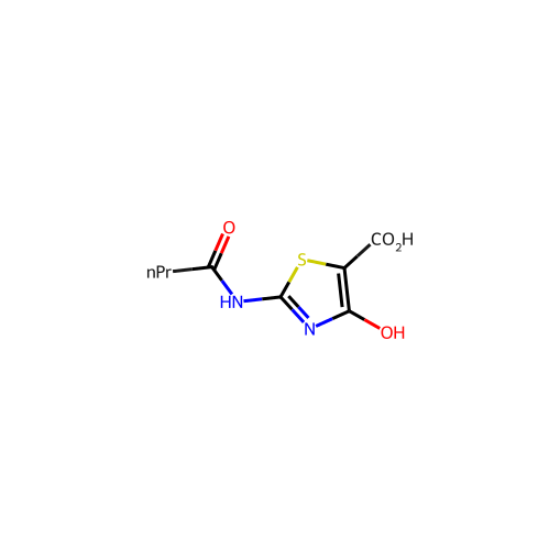 CCCC(=O)Nc1nc(O)c(C(=O)O)s1